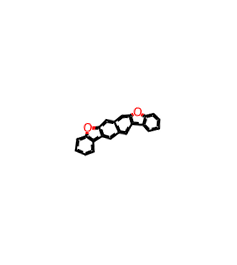 c1ccc2c(c1)oc1cc3cc4oc5ccccc5c4cc3cc12